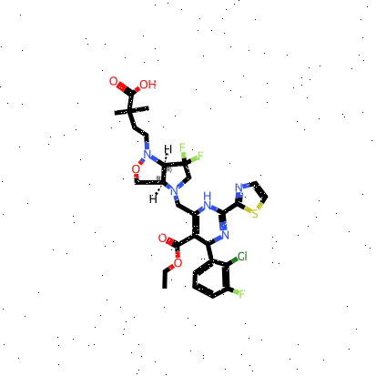 CCOC(=O)C1=C(CN2CC(F)(F)[C@H]3[C@@H]2CON3CCC(C)(C)C(=O)O)NC(c2nccs2)=NC1c1cccc(F)c1Cl